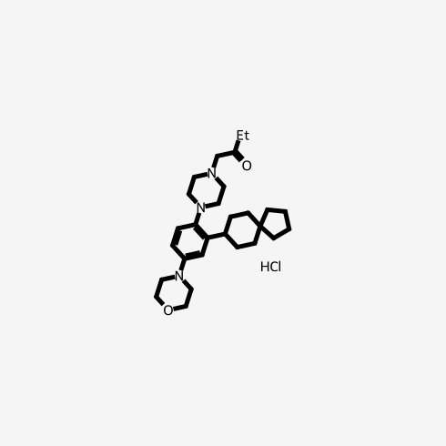 CCC(=O)CN1CCN(c2ccc(N3CCOCC3)cc2C2CCC3(CCCC3)CC2)CC1.Cl